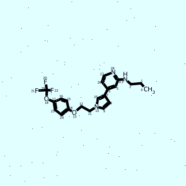 CCCNc1cc(-c2ccn(CCOc3ccc(OC(F)(F)F)cc3)c2)ccn1